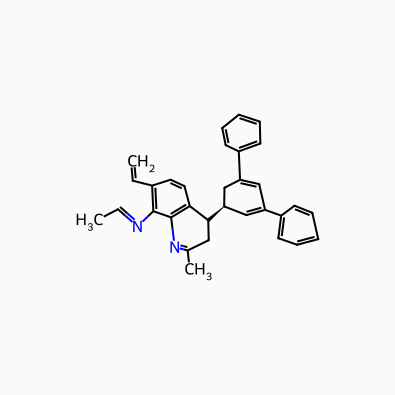 C=Cc1ccc2c(c1/N=C/C)N=C(C)CC2[C@@H]1C=C(c2ccccc2)C=C(c2ccccc2)C1